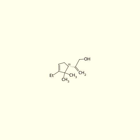 C=C(CO)[C@H]1CC=C(CC)C1(C)C